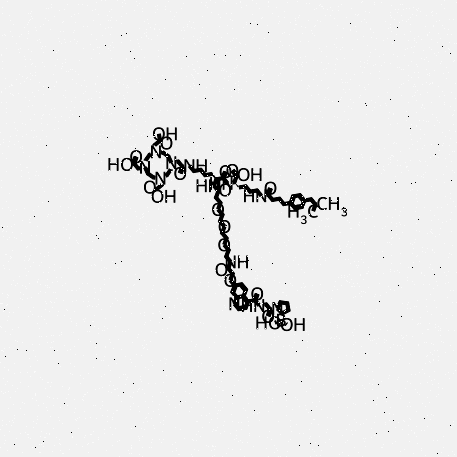 CC(C)Cc1ccc(CCCC(=O)NCCCC[C@H](NC(=O)[C@H](CCCCNC(=O)CN2CCN(CC(=O)O)CCN(CC(=O)O)CCN(CC(=O)O)CC2)NC(=O)CCOCCOCCOCCNC(=O)COc2ccc3c(C(=O)NCC(=O)N4CCC[C@H]4B(O)O)ccnc3c2)C(=O)O)cc1